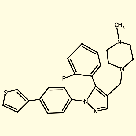 CN1CCN(Cc2cnn(-c3ccc(-c4ccsc4)cc3)c2-c2ccccc2F)CC1